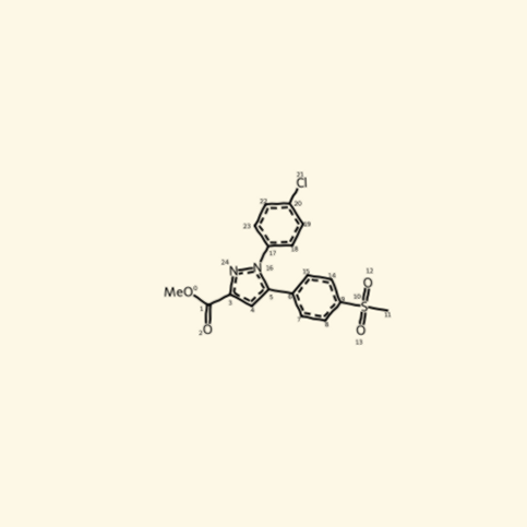 COC(=O)c1cc(-c2ccc(S(C)(=O)=O)cc2)n(-c2ccc(Cl)cc2)n1